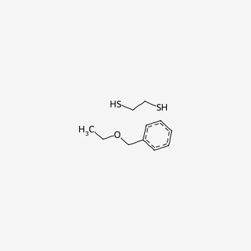 CCOCc1ccccc1.SCCS